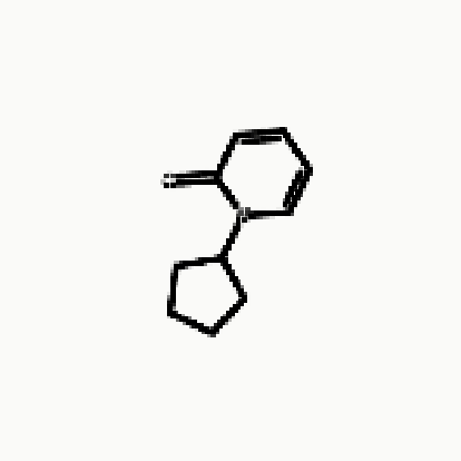 O=c1ccccn1C1CCCC1